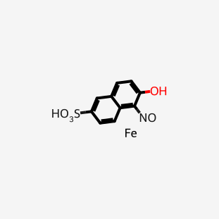 O=Nc1c(O)ccc2cc(S(=O)(=O)O)ccc12.[Fe]